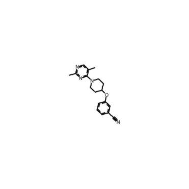 Cc1ncc(C)c(N2CCC(Oc3cccc(C#N)c3)CC2)n1